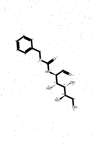 O=C[C@H](NC(=O)OCc1ccccc1)[C@@H](O)[C@H](O)[C@H](O)CO